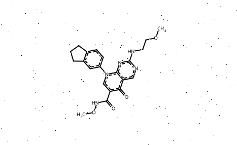 COCCNc1ncc2c(=O)c(C(=O)NOC)cn(-c3ccc4c(c3)CCC4)c2n1